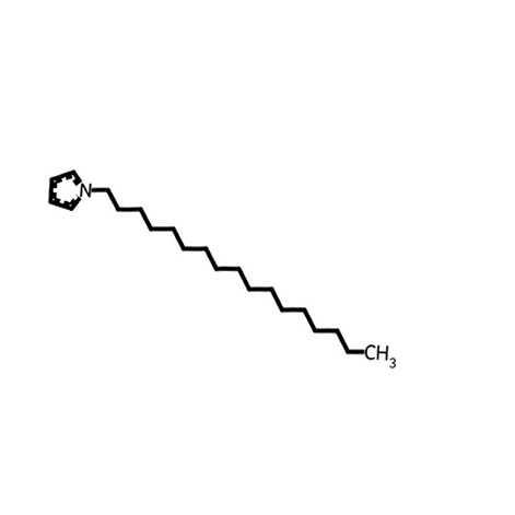 CCCCCCCCCCCCCCCCCn1cccc1